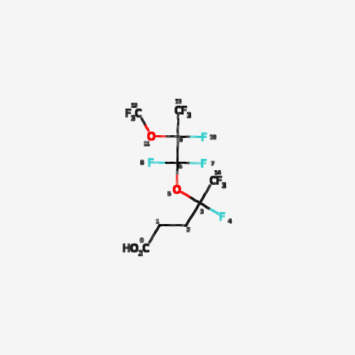 O=C(O)CCC(F)(OC(F)(F)C(F)(OC(F)(F)F)C(F)(F)F)C(F)(F)F